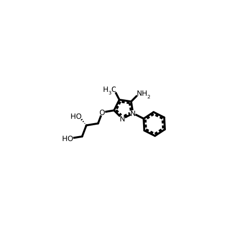 Cc1c(OC[C@@H](O)CO)nn(-c2ccccc2)c1N